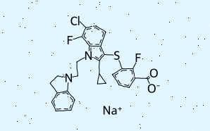 O=C([O-])c1cccc(Sc2c(C3CC3)n(CCN3CCc4ccccc43)c3c(F)c(Cl)ccc23)c1F.[Na+]